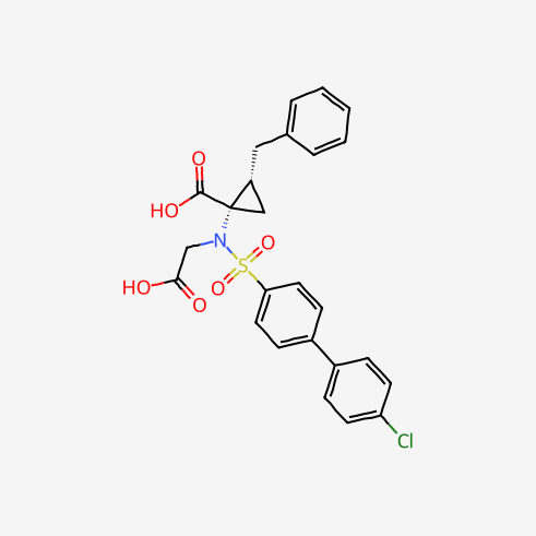 O=C(O)CN([C@@]1(C(=O)O)C[C@H]1Cc1ccccc1)S(=O)(=O)c1ccc(-c2ccc(Cl)cc2)cc1